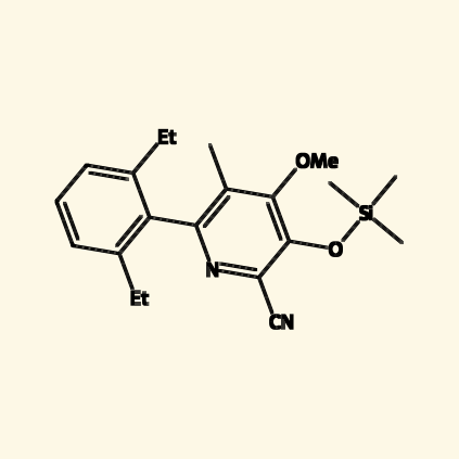 CCc1cccc(CC)c1-c1nc(C#N)c(O[Si](C)(C)C)c(OC)c1C